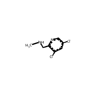 CNCc1ncc(Cl)cc1Cl